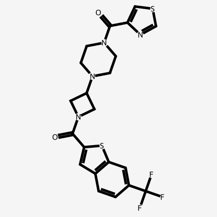 O=C(c1cscn1)N1CCN(C2CN(C(=O)c3cc4ccc(C(F)(F)F)cc4s3)C2)CC1